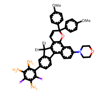 CCC1(CC)c2cc(-c3c(P)c(P)c(I)c(P)c3I)ccc2-c2c1c1c(c3cc(N4CCOCC4)ccc23)OC(c2ccc(OC)cc2)(c2ccc(OC)cc2)C=C1